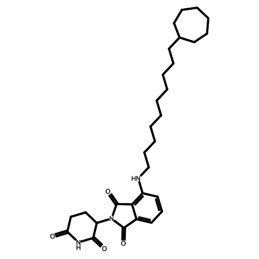 O=C1CCC(N2C(=O)c3cccc(NCCCCCCCCCCC4CCCCCC4)c3C2=O)C(=O)N1